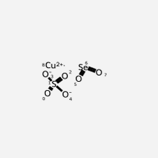 O=S(=O)([O-])[O-].O=[Se]=O.[Cu+2]